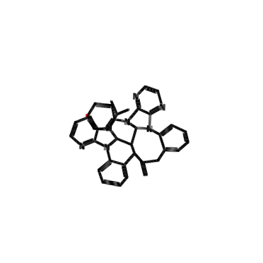 C=C1Cc2ccccc2N2c3nccnc3N(c3ccccc3)C2C2C1c1ccccc1N1c3ncccc3N(C(C)C)C21